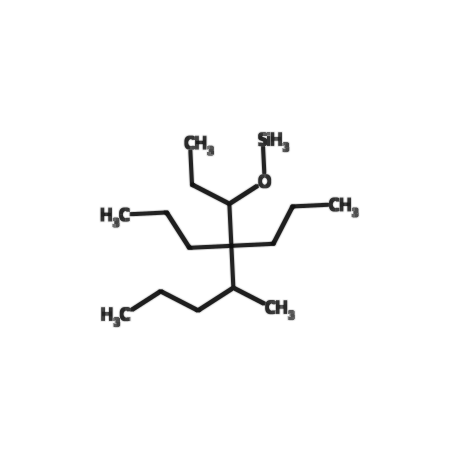 CCCC(C)C(CCC)(CCC)C(CC)O[SiH3]